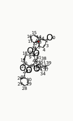 COc1ccc(COC2C(OCc3ccccc3)C=CC(=O)C(OCc3ccccc3)C(O[Si](C)(C)C(C)(C)C)C2(C)C)cc1